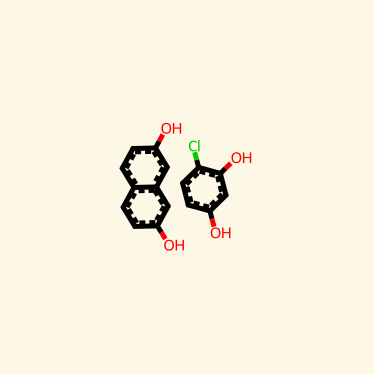 Oc1ccc(Cl)c(O)c1.Oc1ccc2ccc(O)cc2c1